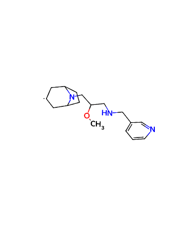 COC(CNCc1cccnc1)CN1C2C[CH]CC1CC2